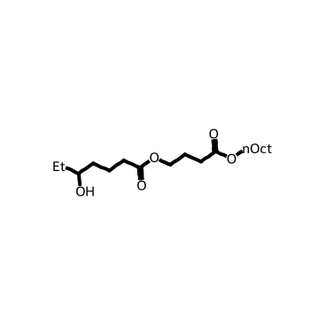 CCCCCCCCOC(=O)CCCOC(=O)CCCC(O)CC